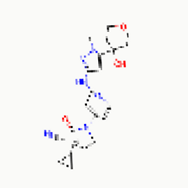 Cn1nc(Nc2cc(N3CC[C@@](C#N)(C4CC4)C3=O)ccn2)cc1C1(O)CCOCC1